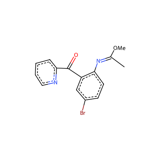 COC(C)=Nc1ccc(Br)cc1C(=O)c1ccccn1